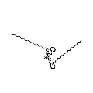 CCCCCCCCCCCCCCCCOc1ccccc1CO[PH](=O)OCc1ccccc1OCCCCCCCCCCCCCCCC